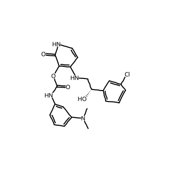 CN(C)c1cccc(NC(=O)Oc2c(NC[C@@H](O)c3cccc(Cl)c3)cc[nH]c2=O)c1